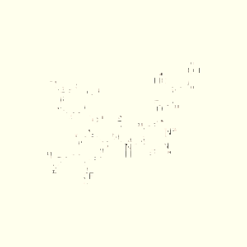 Cc1cc(F)ccc1Oc1cc(C2CC2)c(C(F)(F)F)cc1C(=O)Nc1cnnc(OCC(O)CO)c1